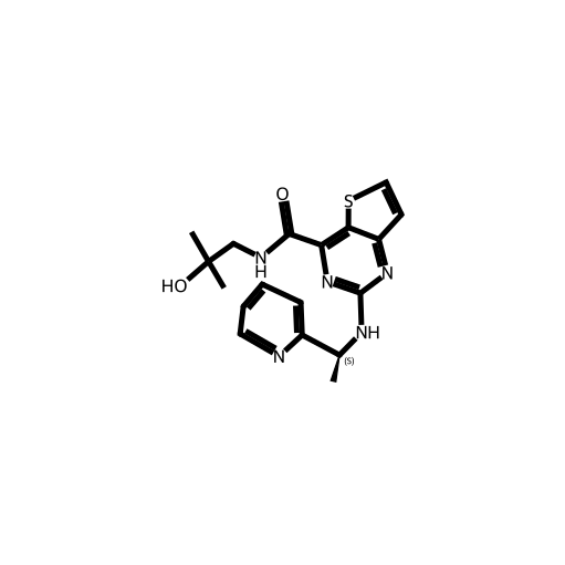 C[C@H](Nc1nc(C(=O)NCC(C)(C)O)c2sccc2n1)c1ccccn1